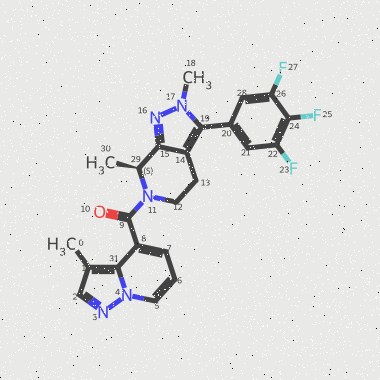 Cc1cnn2cccc(C(=O)N3CCc4c(nn(C)c4-c4cc(F)c(F)c(F)c4)[C@@H]3C)c12